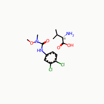 CC(C)[C@H](N)C(=O)O.CON(C)C(=O)Nc1ccc(Cl)c(Cl)c1